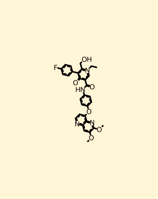 CCn1cc(C(=O)Nc2ccc(Oc3ccnc4cc(OC)c(OC)nc34)cc2)c(=O)c(-c2ccc(F)cc2)c1CO